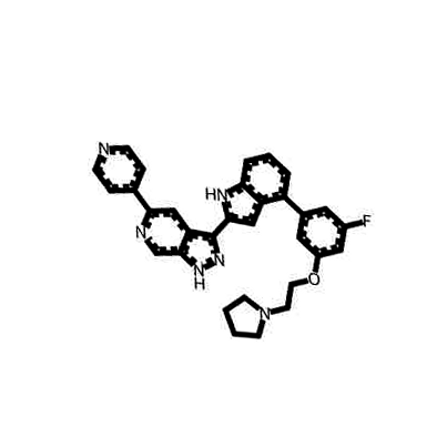 Fc1cc(OCCN2CCCC2)cc(-c2cccc3[nH]c(-c4n[nH]c5cnc(-c6ccncc6)cc45)cc23)c1